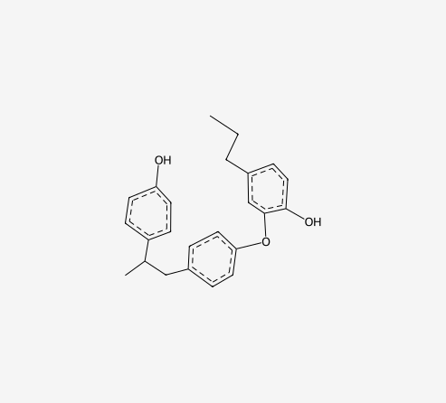 CCCc1ccc(O)c(Oc2ccc(CC(C)c3ccc(O)cc3)cc2)c1